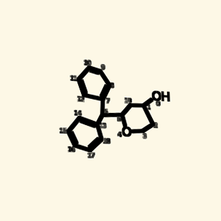 OC1CCOC(C(c2ccccc2)c2ccccc2)C1